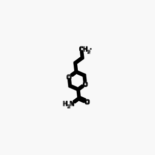 [CH2]CCC1COC(C(N)=O)CO1